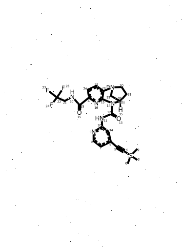 CS(C)(C)C#Cc1ccnc(NC(=O)N2c3nc(C(=O)NCC(F)(F)F)ccc3N3CC[C@H]2C3)c1